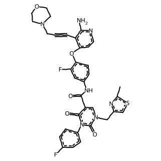 Cc1nc(Cn2cc(C(=O)Nc3ccc(Oc4ccnc(N)c4C#CCN4CCOCC4)c(F)c3)c(=O)n(-c3ccc(F)cc3)c2=O)cs1